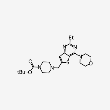 CCc1nc(N2CCOCC2)c2sc(CN3CCN(C(=O)OC(C)(C)C)CC3)cc2n1